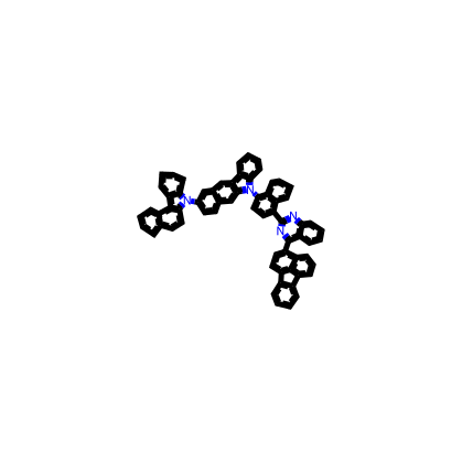 c1ccc2c(c1)-c1cccc3c(-c4nc(-c5ccc(-n6c7ccccc7c7cc8cc(-n9c%10ccccc%10c%10c%11ccccc%11ccc%109)ccc8cc76)c6ccccc56)nc5ccccc45)ccc-2c13